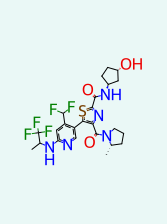 CC(Nc1cc(C(F)F)c(-c2sc(C(=O)N[C@H]3CC[C@H](O)C3)nc2C(=O)N2CCC[C@@H]2C)cn1)C(F)(F)F